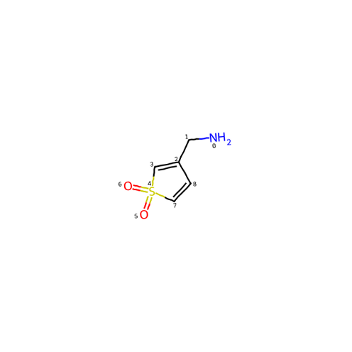 NCC1=CS(=O)(=O)C=C1